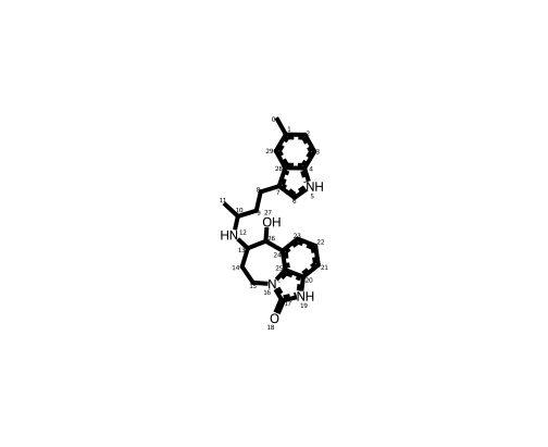 Cc1ccc2[nH]cc(CCC(C)NC3CCn4c(=O)[nH]c5cccc(c54)C3O)c2c1